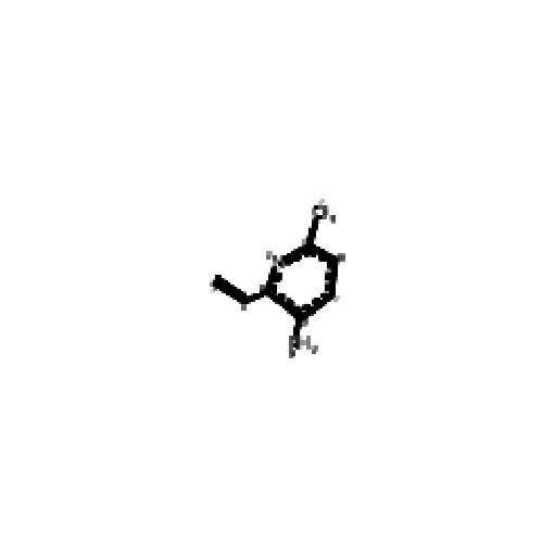 C=Cc1nc(C(F)(F)F)ccc1N